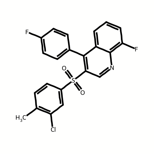 Cc1ccc(S(=O)(=O)c2cnc3c(F)cccc3c2-c2ccc(F)cc2)cc1Cl